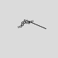 CCCCCCCCCCCCCCCCCCNC(=O)CC[C@@H](C)[C@H]1CCC2C3CCC4C[C@H](O)CC[C@]4(C)C3C[C@H](O)[C@@]21C